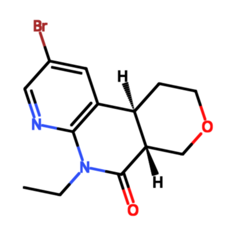 CCN1C(=O)[C@H]2COCC[C@@H]2c2cc(Br)cnc21